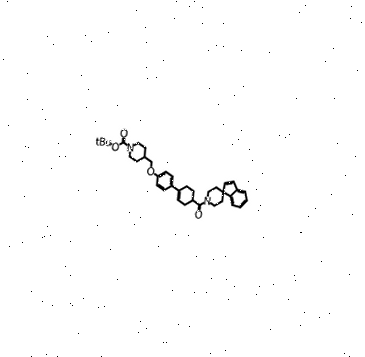 CC(C)(C)OC(=O)N1CCC(COc2ccc(C3=CCC(C(=O)N4CCC5(C=Cc6ccccc65)CC4)CC3)cc2)CC1